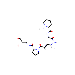 C/C(=C\[C@H](C(C)C)N(C)C(=O)[C@@H](NC(=O)[C@H]1CCCCN1C(C)C)C(C)(C)C)C(=O)N1CCC[C@H]1C(=O)NC[C@H](O)CO